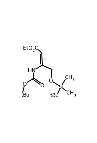 CCOC(=O)/C=C(/CO[Si](C)(C)C(C)(C)C)NC(=O)OC(C)(C)C